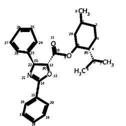 CC1CC[C@H](C(C)C)C(OC(=O)[C@@H]2OC(c3ccccc3)=N[C@H]2c2ccccc2)C1